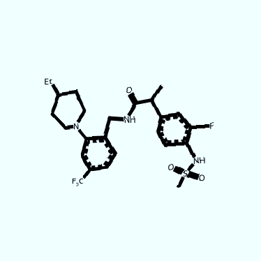 CCC1CCN(c2cc(C(F)(F)F)ccc2CNC(=O)C(C)c2ccc(NS(C)(=O)=O)c(F)c2)CC1